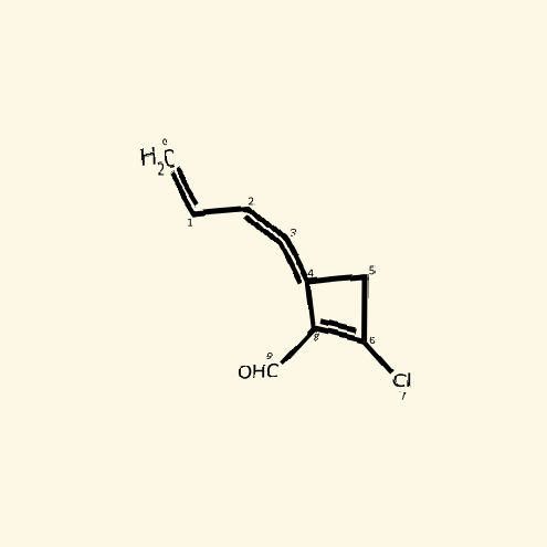 C=CC=C=C1CC(Cl)=C1C=O